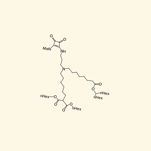 CCCCCCOC(=O)C(CCCCCCN(CCCCCCCC(=O)OC(CCCCCC)CCCCCC)CCCNc1c(NC)c(=O)c1=O)C(=O)OCCCCCC